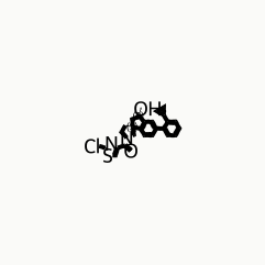 O=C(c1csc(Cl)n1)N1CC[C@@]2(C[C@H](O)c3cc(-c4ccccc4C4CC4)ccc32)C1